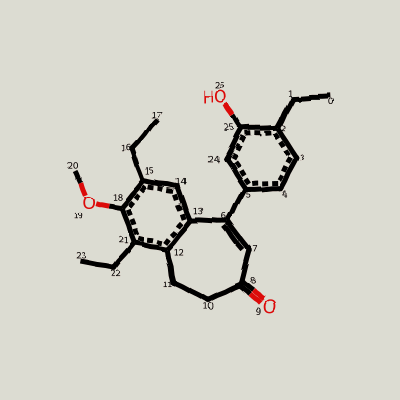 CCc1ccc(C2=CC(=O)CCc3c2cc(CC)c(OC)c3CC)cc1O